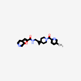 Cc1ccc(C(=O)N2CCC3(CC2)CC3CNC(=O)c2cc3ccncc3o2)nc1